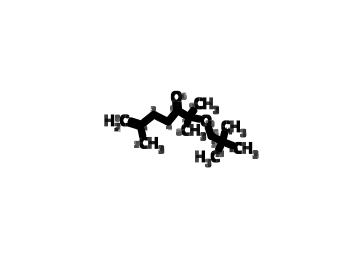 C=C(C)CCC(=O)C(C)(C)OCC(C)(C)C